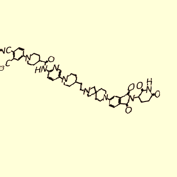 N#Cc1ccc(N2CCC(C(=O)Nc3ccc(N4CCC(CCN5CC6(CCN(c7ccc8c(c7)C(=O)N(C7CCC(=O)NC7=O)C8=O)CC6)C5)CC4)cn3)CC2)cc1C(F)(F)F